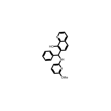 COc1cccc(NC(c2ccccc2)c2ccc3cccnc3c2O)n1